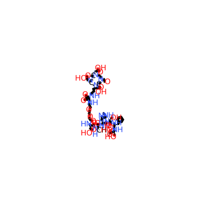 C[C@H](NC(=O)[C@H](CC(=O)O)NC(=O)COCCOCCNc1c(NCCCC(C(=O)O)N2CCN(CC=O)CCN(CC(=O)O)CCN(CC(=O)O)CC2)c(=O)c1=O)C(=O)N[C@@H](Cc1c[nH]cn1)C(=O)N[C@@H](CO)C(=O)N[C@@H](Cc1ccccc1)C(=O)N[C@@H](CO)C(=O)O